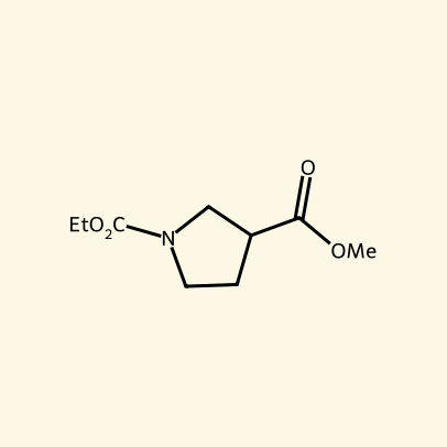 CCOC(=O)N1CCC(C(=O)OC)C1